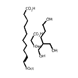 CCCCCCCCC=CCCCCCCCC(=O)O.CCCCCCCCCCCC(=O)O.OCCCC(CO)CO